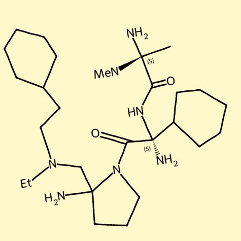 CCN(CCC1CCCCC1)CC1(N)CCCN1C(=O)[C@@](N)(NC(=O)[C@@](C)(N)NC)C1CCCCC1